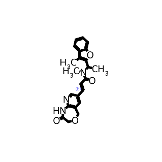 Cc1c(C(C)N(C)C(=O)/C=C/c2cnc3c(c2)COCC(=O)N3)oc2ccccc12